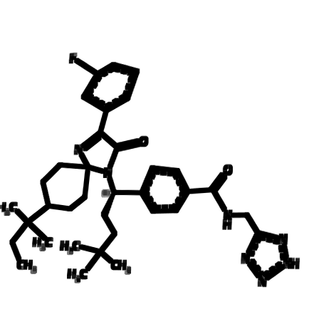 CCC(C)(C)C1CCC2(CC1)N=C(c1cccc(F)c1)C(=O)N2[C@H](CCC(C)(C)C)c1ccc(C(=O)NCc2nn[nH]n2)cc1